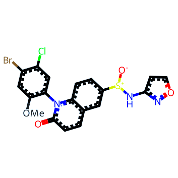 COc1cc(Br)c(Cl)cc1-n1c(=O)ccc2cc([S+]([O-])Nc3ccon3)ccc21